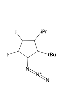 CC(C)C1C(I)C(I)C(N=[N+]=[N-])C1C(C)(C)C